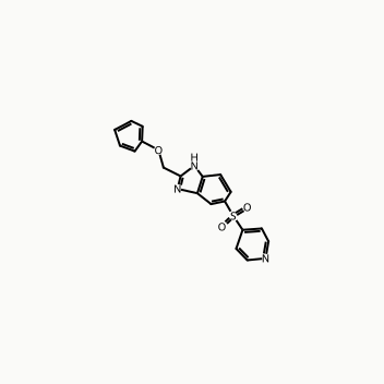 O=S(=O)(c1ccncc1)c1ccc2[nH]c(COc3ccccc3)nc2c1